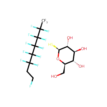 FCCC(F)(F)C(F)(F)C(F)(F)C(F)(F)C(F)(F)C(F)(F)F.OC[C@H]1O[C@@H](S)[C@H](O)[C@@H](O)[C@@H]1O